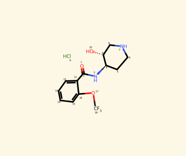 Cl.O=C(N[C@@H]1CCNC[C@H]1O)c1ccccc1OC(F)(F)F